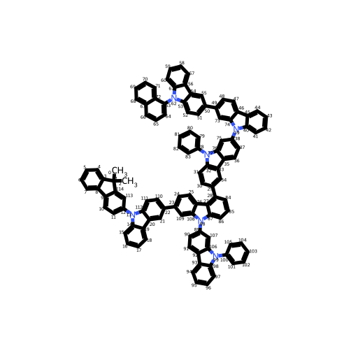 CC1(C)c2ccccc2-c2ccc(-n3c4ccccc4c4cc(-c5ccc6c7c(-c8ccc9c(c8)c8ccc(-n%10c%11ccccc%11c%11ccc(-c%12ccc%13c(c%12)c%12ccccc%12n%13-c%12cccc%13ccccc%12%13)cc%11%10)cc8n9-c8ccccc8)cccc7n(-c7ccc8c9ccccc9n(-c9ccccc9)c8c7)c6c5)ccc43)cc21